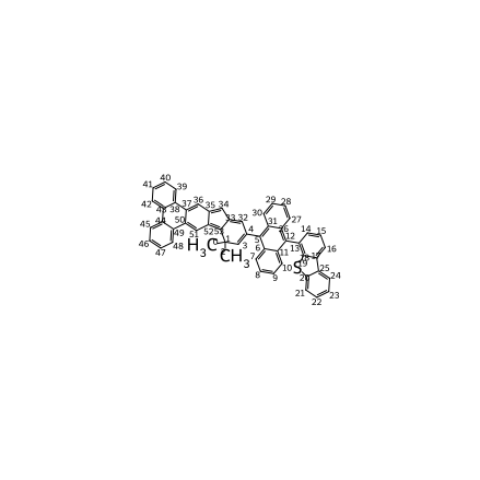 CC1(C)C=C(c2c3ccccc3c(-c3cccc4c3sc3ccccc34)c3ccccc23)C=C2C=c3cc4c5ccccc5c5ccccc5c4cc3=C21